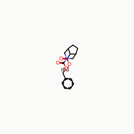 CC(C)(C)OC(=O)C1C2CCC1CN(C(=O)OCc1ccccc1)C2